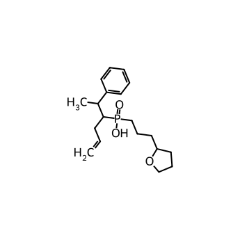 C=CCC(C(C)c1ccccc1)P(=O)(O)CCCC1CCCO1